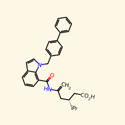 C=C(C[C@H](CC(=O)O)C(C)C)NC(=O)c1cccc2ccn(Cc3ccc(-c4ccccc4)cc3)c12